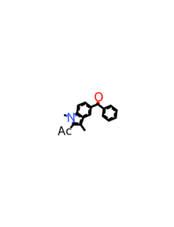 CC(=O)c1c(C)c2cc(C(=O)c3ccccc3)ccc2n1C